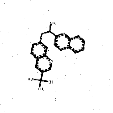 CC(Cc1ccc2cc(C(C)(C)C)cnc2c1)c1ccc2ccccc2n1